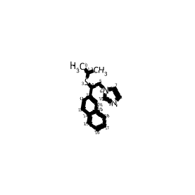 CC(C)SC(Cn1ccnc1)c1ccc2ccccc2c1